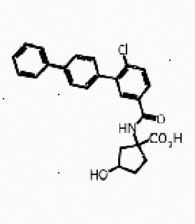 O=C(NC1(C(=O)O)CCC(O)C1)c1ccc(Cl)c(-c2ccc(-c3ccccc3)cc2)c1